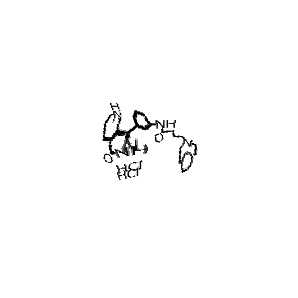 Cl.Cl.O=C(CCCN1CCOCC1)Nc1cccc(-c2n[nH]c(=O)c3c2NCCC3)c1